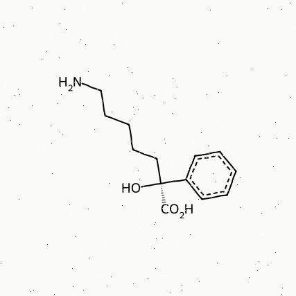 NCCCCC[C@@](O)(C(=O)O)c1ccccc1